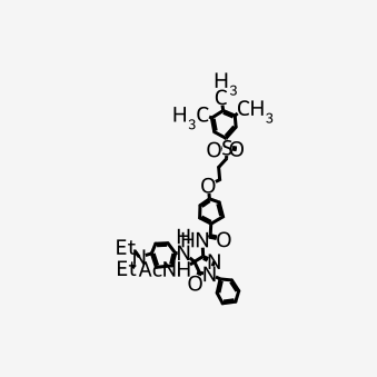 CCN(CC)c1ccc(NC2(NC(C)=O)C(=O)N(c3ccccc3)N=C2NC(=O)c2ccc(OCCCS(=O)(=O)c3cc(C)c(C)c(C)c3)cc2)cc1